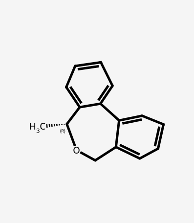 C[C@H]1OCc2ccccc2-c2ccccc21